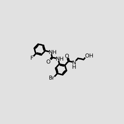 O=C(Nc1cccc(F)c1)Nc1cc(Br)ccc1C(=O)NCCO